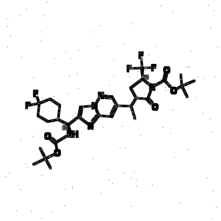 CC(c1cnn2cc([C@@H](NC(=O)OC(C)(C)C)C3CCC(F)(F)CC3)nc2c1)C1C[C@@H](C(F)(F)F)N(C(=O)OC(C)(C)C)C1=O